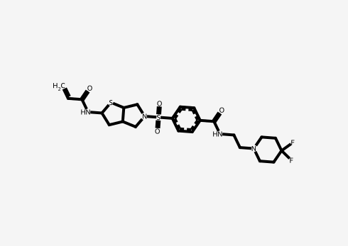 C=CC(=O)NC1CC2CN(S(=O)(=O)c3ccc(C(=O)NCCN4CCC(F)(F)CC4)cc3)CC2S1